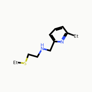 CCSCCNCc1cccc(CC)n1